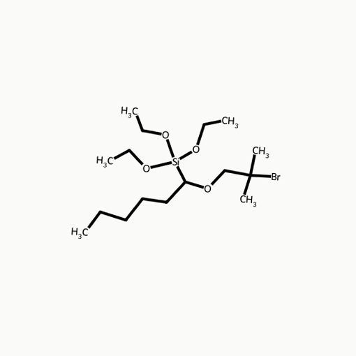 CCCCCC(OCC(C)(C)Br)[Si](OCC)(OCC)OCC